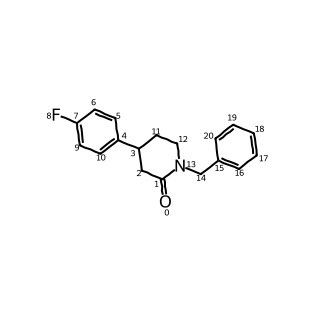 O=C1CC(c2ccc(F)cc2)CCN1Cc1ccccc1